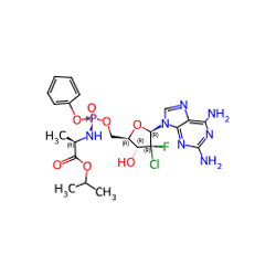 CC(C)OC(=O)[C@@H](C)N[P@@](=O)(OC[C@H]1O[C@@H](n2cnc3c(N)nc(N)nc32)[C@](F)(Cl)[C@@H]1O)Oc1ccccc1